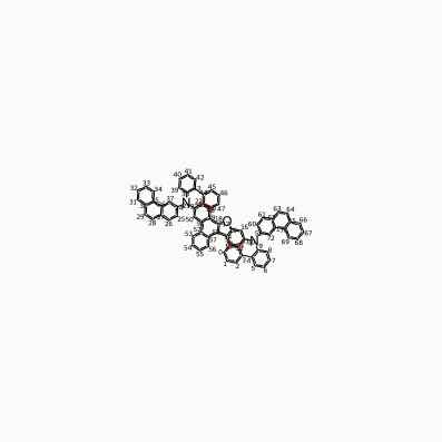 c1ccc(-c2ccccc2N(c2ccc3c(c2)oc2c4ccc(N(c5ccc6ccc7ccccc7c6c5)c5ccccc5-c5ccccc5)cc4c4ccccc4c32)c2ccc3ccc4ccccc4c3c2)cc1